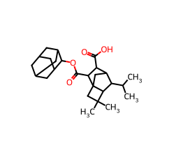 CC(C)C1C2CC3(CC(C)(C)C13)C(C(=O)OC1C3CC4CC(C3)CC1C4)C2C(=O)O